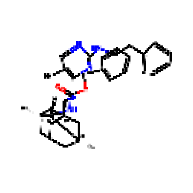 N#Cc1cnc(NCCc2ccccc2)nc1NC[C@]12CC3C[C@H](C1)[C@@H](NC(=O)OCc1ccccc1)[C@@H](C3)C2